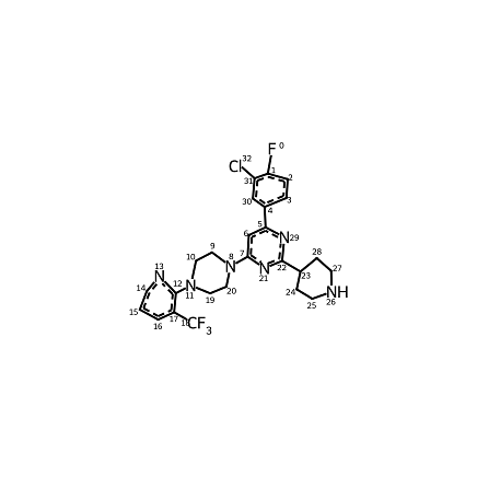 Fc1ccc(-c2cc(N3CCN(c4ncccc4C(F)(F)F)CC3)nc(C3CCNCC3)n2)cc1Cl